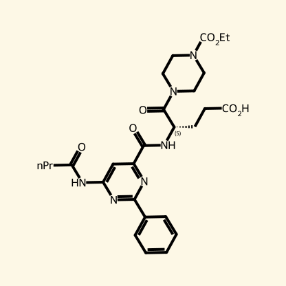 CCCC(=O)Nc1cc(C(=O)N[C@@H](CCC(=O)O)C(=O)N2CCN(C(=O)OCC)CC2)nc(-c2ccccc2)n1